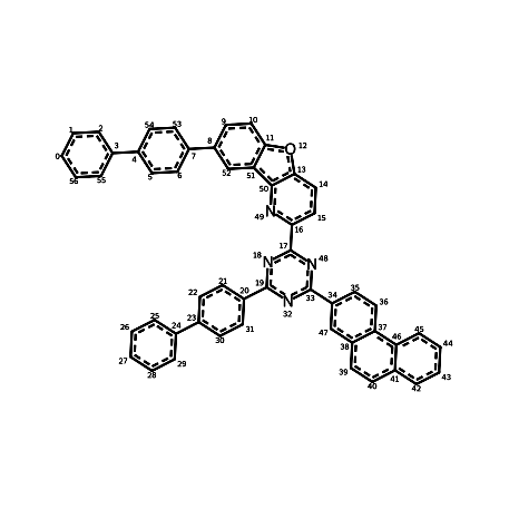 c1ccc(-c2ccc(-c3ccc4oc5ccc(-c6nc(-c7ccc(-c8ccccc8)cc7)nc(-c7ccc8c(ccc9ccccc98)c7)n6)nc5c4c3)cc2)cc1